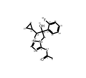 CC(=O)Sc1ncnn1CC(O)(c1ccccc1F)C(C)C1CC1